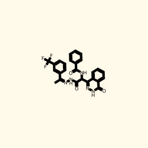 CC(=NNC(=O)C(NC(=O)c1ccccc1)c1n[nH]c(=O)c2ccccc12)c1cccc(C(F)(F)F)c1